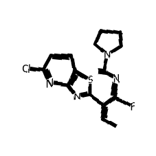 C=C(/N=C(F)\C(=C/C)c1nc2nc(Cl)ccc2s1)N1CCCC1